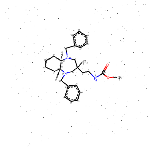 CC(C)(C)OC(=O)NCCC1([N+](=O)[O-])CN(Cc2ccccc2)[C@@H]2CCCC[C@H]2N(Cc2ccccc2)C1